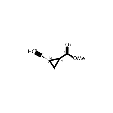 C#C[C@H]1CC1C(=O)OC